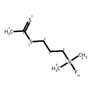 CC(=S)SCCC[Si](C)(C)F